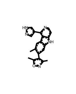 Cc1cc2c(cc1-c1c(C)noc1C)[nH]c1ccnc(-c3cn[nH]c3)c12